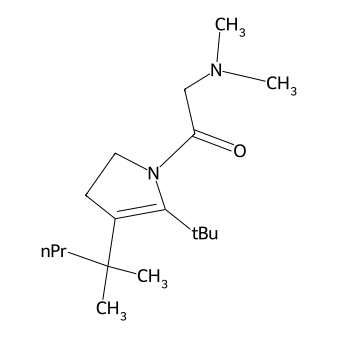 CCCC(C)(C)C1=C(C(C)(C)C)N(C(=O)CN(C)C)CC1